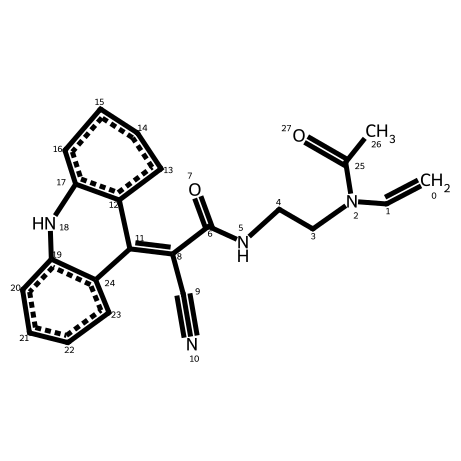 C=CN(CCNC(=O)C(C#N)=C1c2ccccc2Nc2ccccc21)C(C)=O